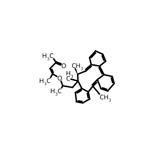 CC(=O)/C=C(/C)OC(C)CC1(C)c2ccccc2\C(C)=c2/cccc/c2=c2\cccc\c2=C/[C@@H]1C